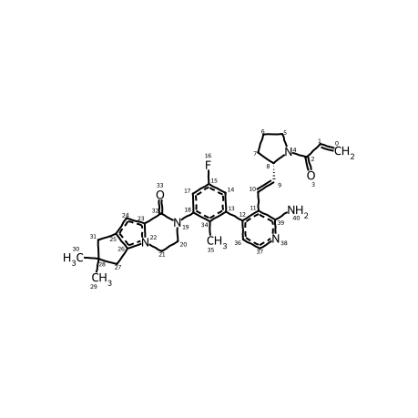 C=CC(=O)N1CCC[C@H]1/C=C/c1c(-c2cc(F)cc(N3CCn4c(cc5c4CC(C)(C)C5)C3=O)c2C)ccnc1N